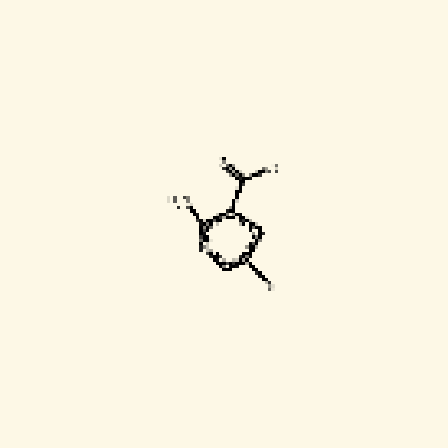 CCC(=O)c1nc(Br)cnc1N